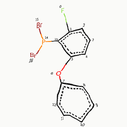 Fc1cccc(Oc2ccccc2)c1P(Br)Br